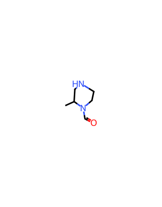 CC1CNCCN1C=O